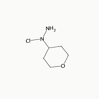 NN(Cl)C1CCOCC1